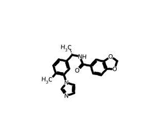 Cc1ccc([C@H](C)NC(=O)c2ccc3c(c2)OCO3)cc1-n1ccnc1